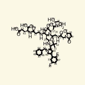 C[C@H](NC(=O)CN1C(=O)C=CC1=O)C(=O)N([C@@H](CC(N)=O)C(=O)O)[C@@H](CCN[C@@H](c1cc(-c2cc(F)ccc2F)cn1Cc1ccccc1)C(C)(C)C)C(=O)NCCC(=O)N[C@@H](CCC(=O)O)C(=O)O.OCCO